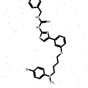 CN(CCCCOc1cccc(-c2csc(NC(=N)NCc3ccccc3)n2)c1)c1ccc(Br)cc1